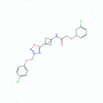 O=C(COC1C=CC=C(Cl)C1)NC12CC(c3nc(COc4ccc(Cl)cc4)no3)(C1)C2